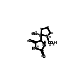 CC(C)(C)[C@]1([C@H]2NC(=O)NC2=O)CCCN1C(=O)O